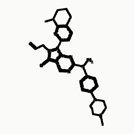 C=CCn1c(=O)c2cnc(N(P)c3ccc(N4CCN(C)CC4)cc3)nc2n1-c1ccc2c(n1)C(C)CCC2